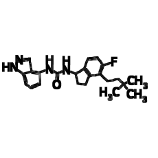 CC(C)(C)CCc1c(F)ccc2c1CCC2NC(=O)Nc1cccc2[nH]ncc12